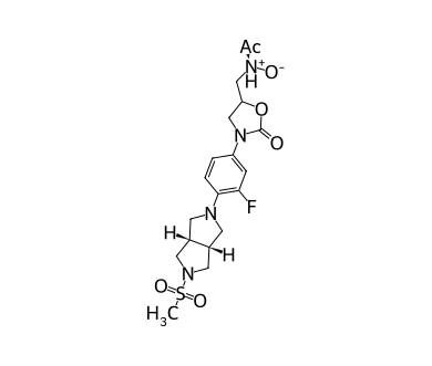 CC(=O)[N@@H+]([O-])CC1CN(c2ccc(N3C[C@@H]4CN(S(C)(=O)=O)C[C@@H]4C3)c(F)c2)C(=O)O1